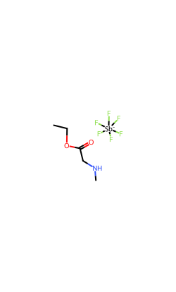 CCOC(=O)CNC.[F][Sb-]([F])([F])([F])([F])[F]